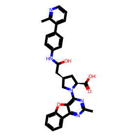 Cc1nc(N2C[C@@H](CC(O)Nc3ccc(-c4cccnc4C)cc3)C[C@H]2C(=O)O)c2oc3ccccc3c2n1